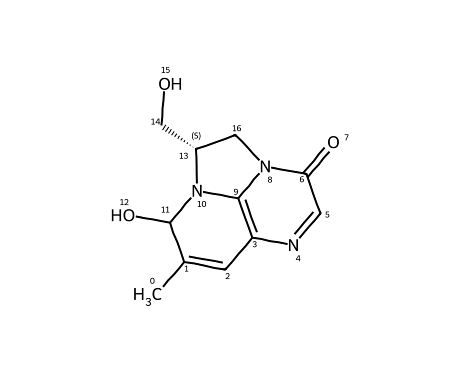 CC1=Cc2ncc(=O)n3c2N(C1O)[C@H](CO)C3